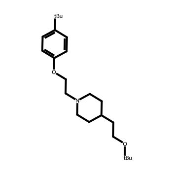 CC(C)(C)OCCC1CCN(CCOc2ccc(C(C)(C)C)cc2)CC1